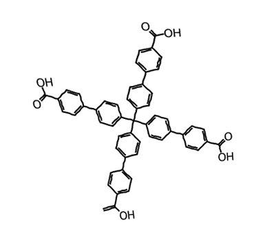 C=C(O)c1ccc(-c2ccc(C(c3ccc(-c4ccc(C(=O)O)cc4)cc3)(c3ccc(-c4ccc(C(=O)O)cc4)cc3)c3ccc(-c4ccc(C(=O)O)cc4)cc3)cc2)cc1